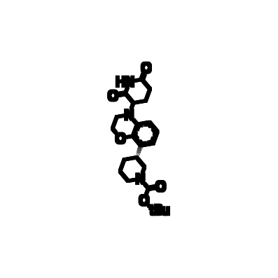 CC(C)(C)OC(=O)N1CCC[C@H](c2cccc3c2OCCN3C2CCC(=O)NC2=O)C1